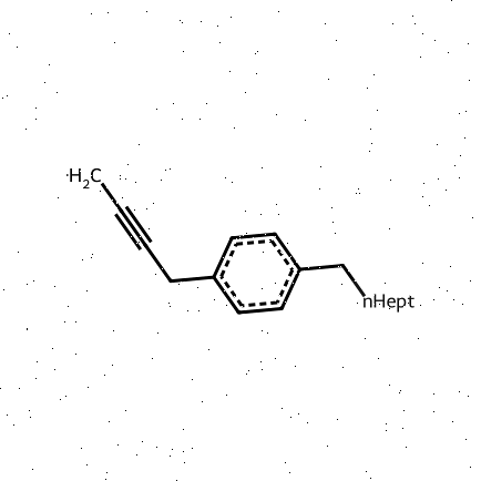 [CH2]C#CCc1ccc(CCCCCCCC)cc1